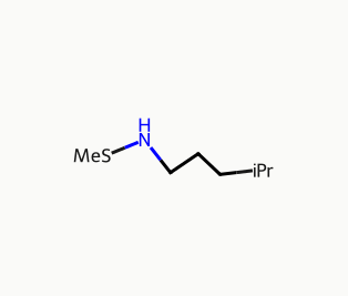 CSNCCCC(C)C